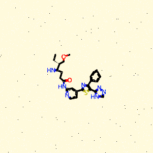 CC[C@H](COC)C(=N)CCC(=O)Nc1cc(-c2nc(-c3ccccc3)c(-c3nnc[nH]3)s2)ccn1